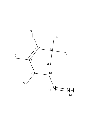 C/C(=C(\I)C(C)(C)C)C(C)CN=N